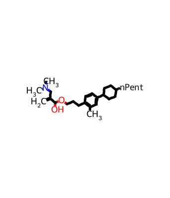 C=C(CN(C)C)C(O)OCCCc1ccc(C2CCC(CCCCC)CC2)cc1C